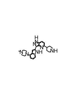 CN1CCN(c2cccc3[nH]c(-c4n[nH]c5ccc(C6CCNCC6)nc45)cc23)CC1